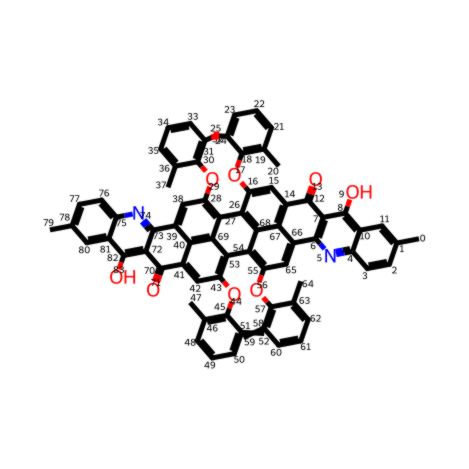 Cc1ccc2nc3c(c(O)c2c1)C(=O)c1cc(Oc2c(C)cccc2C)c2c4c(Oc5c(C)cccc5C)cc5c6c(cc(Oc7c(C)cccc7C)c(c7c(Oc8c(C)cccc8C)cc-3c1c27)c64)C(=O)c1c-5nc2ccc(C)cc2c1O